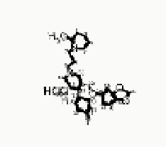 CC1CCCCN1CCCN1CC[C@H](c2ccc(F)cc2)[C@@H](COc2ccc3c(c2)OCO3)C1.Cl.Cl